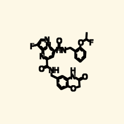 CC(F)Oc1ccccc1CNC(=O)c1cc(C(=O)NCc2ccc3c(c2)NC(=O)CO3)nc2c(F)cnn12